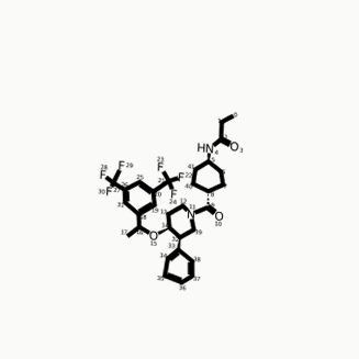 CCC(=O)N[C@H]1CC[C@H](C(=O)N2CC[C@H](OC(C)c3cc(C(F)(F)F)cc(C(F)(F)F)c3)[C@H](c3ccccc3)C2)CC1